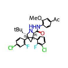 COc1cc(C(C)=O)ccc1NC(=O)[C@@H]1N[C@@H](CC(C)(C)C)[C@@]2(c3ccc(Cl)cc3F)C[C@@]12c1cccc(Cl)c1F